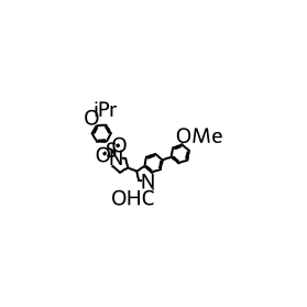 COc1cccc(-c2ccc3c(c2)N(CC=O)CC3C2CCN(S(=O)(=O)c3ccc(OC(C)C)cc3)C2)c1